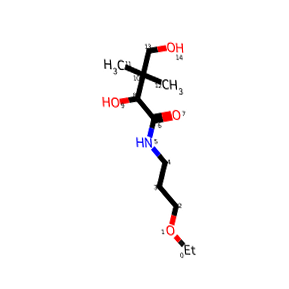 CCOCCCNC(=O)C(O)C(C)(C)CO